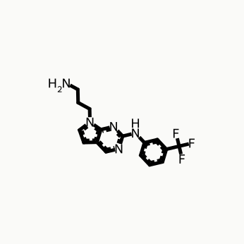 NCCCn1ccc2cnc(Nc3cccc(C(F)(F)F)c3)nc21